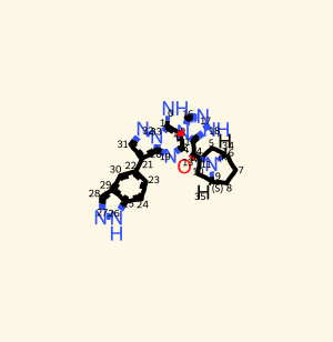 Nc1cc([C@@H]2C[C@H]3CC[C@@H](C2)N3C(=O)c2ncn[nH]2)nc2c(-c3ccc4[nH]ncc4c3)cnn12